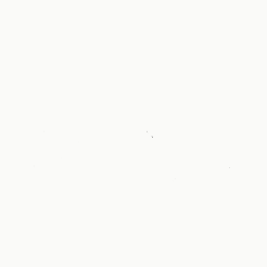 CCOC(=O)c1cn(-c2ccc(F)cc2F)c2cc(OS(=O)(=O)C(F)(F)F)c(F)cc2c1=O